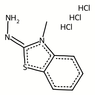 Cl.Cl.Cl.Cn1c(=NN)sc2ccccc21